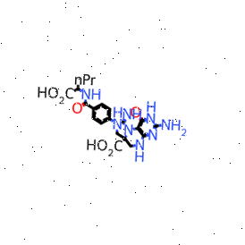 CCCC(NC(=O)c1ccc(NCC2(C(=O)O)CNc3nc(N)[nH]c(=O)c3N2C=N)cc1)C(=O)O